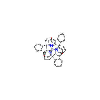 C1=C[N]([Ir]([N]2C=CC=CC2(c2ccccc2)c2ccccc2)[N]2C=CC=CC2(c2ccccc2)c2ccccc2)C(c2ccccc2)(c2ccccc2)C=C1